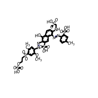 COc1cc(S(=O)(=O)CCOS(=O)(=O)O)c(C)cc1/N=N/c1c(S(=O)(=O)O)cc2c(/N=N/c3ccc(C)cc3S(=O)(=O)O)c(NCS(=O)(=O)O)ccc2c1O